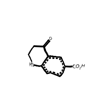 O=C(O)c1ccc2c(c1)C(=O)CCN2